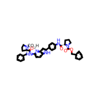 O=C(Nc1ccc(-c2cc3nc(NC(=O)[C@@]4(Cc5ccccc5)CCCN4C(=O)O)ccc3[nH]2)cc1)[C@@H]1CCCN1C(=O)OCc1ccccc1